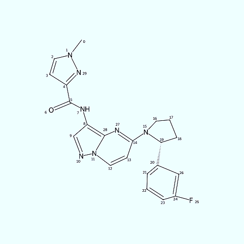 Cn1ccc(C(=O)Nc2cnn3ccc(N4CCC[C@@H]4c4cccc(F)c4)nc23)n1